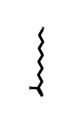 O=C(F)CCCCCCCCF